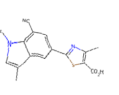 CCn1cc(C)c2cc(-c3nc(C)c(C(=O)O)s3)cc(C#N)c21